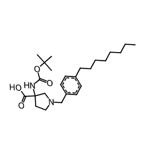 CCCCCCCCc1ccc(CN2CCC(NC(=O)OC(C)(C)C)(C(=O)O)C2)cc1